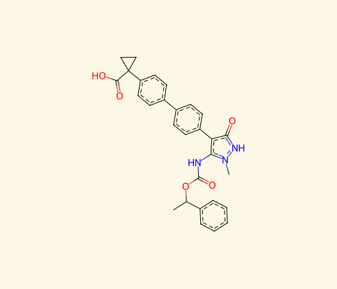 CC(OC(=O)Nc1c(-c2ccc(-c3ccc(C4(C(=O)O)CC4)cc3)cc2)c(=O)[nH]n1C)c1ccccc1